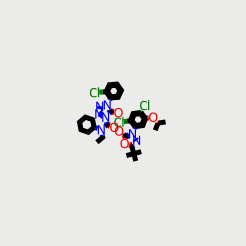 CC(C)Oc1cc(-n2nc(C(C)(C)C)oc2=O)c(Cl)cc1Cl.CCN(C(=O)n1nnn(-c2ccccc2Cl)c1=O)C1CCCCC1